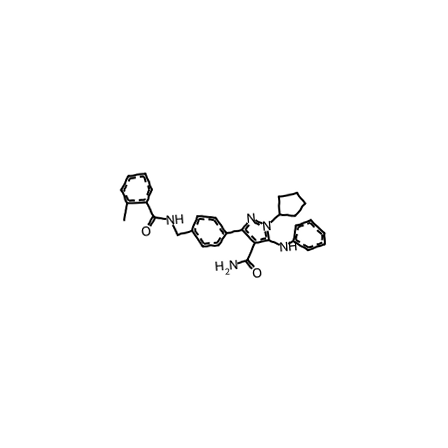 Cc1ccccc1C(=O)NCc1ccc(-c2nn(C3CCCC3)c(Nc3ccccc3)c2C(N)=O)cc1